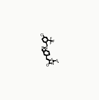 CSC1=NC(=O)/C(=C/c2ccc3c(cnn3Cc3ccc(Cl)cc3C(F)(F)F)c2)S1